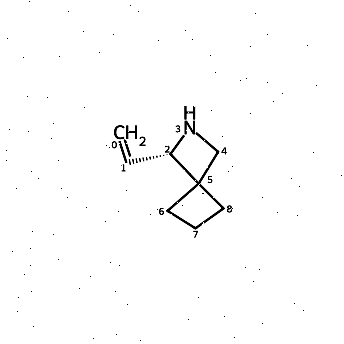 C=C[C@@H]1NCC12CCC2